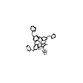 CC1=C(C)[C](C)([Ti+3])C([Si](c2ccc(Cc3ccccc3)cc2C)(c2ccc(Cc3ccccc3)cc2C)c2ccc(Cc3ccccc3)cc2C)=C1C.[Cl-].[Cl-].[Cl-]